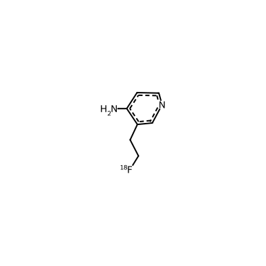 Nc1ccncc1CC[18F]